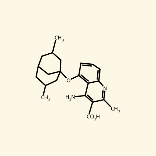 Cc1nc2cccc(OC34CC(C)CC(CC(C)C3)C4)c2c(N)c1C(=O)O